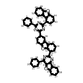 c1ccc(-c2nc(-c3ccc4oc5c(-c6nc(-c7ccccc7)c7oc8ccccc8c7n6)cccc5c4c3)nc(-c3cccc4oc5ccccc5c34)n2)cc1